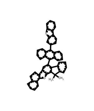 CC1(C)c2ccccc2-c2c(-c3c4ccccc4c(-c4ccc5c(c4)sc4ccccc45)c4ccccc34)cc3c(oc4c5ccccc5ccc34)c21